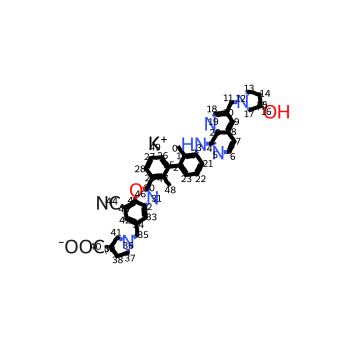 Cc1c(Nc2nccc3cc(CN4CC[C@@H](O)C4)cnc23)cccc1-c1cccc(-c2nc3cc(CN4CC[C@@H](C(=O)[O-])C4)cc(C#N)c3o2)c1C.[K+]